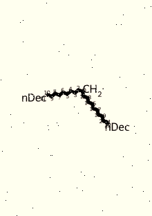 [CH2]C(CCCCCCCCCCCCCCCCCCC)CCCCCCCCCCCCCCCCCCCC